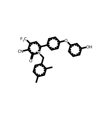 [C-]#[N+]c1c(C(F)(F)F)cc(-c2ccc(Oc3cccc(O)c3)cc2)n(Cc2ccc(C)cc2C)c1=O